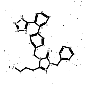 CCCCc1nn(Cc2ccccc2)c(=N)n1Cc1ccc(-c2ccccc2-c2nnn[nH]2)cc1